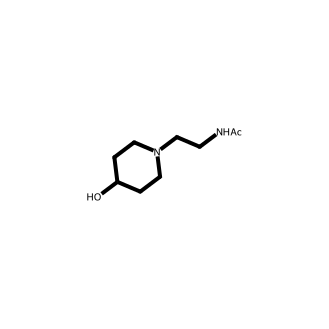 CC(=O)NCCN1CCC(O)CC1